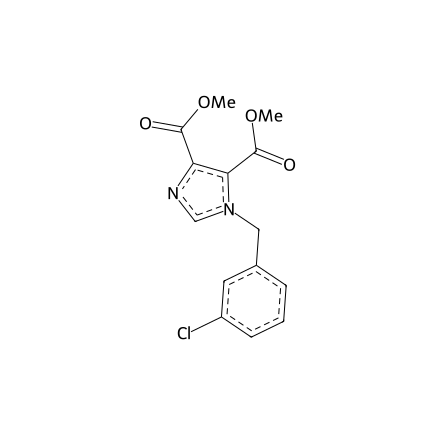 COC(=O)c1ncn(Cc2cccc(Cl)c2)c1C(=O)OC